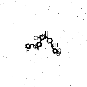 Fc1cccc(Cn2cnc3ccc(-c4cc(NC5CCC(NCc6ccc7c(c6)OCO7)CC5)ncc4Cl)cc32)c1